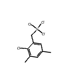 Cc1cc(C)c(Cl)c(C[Si](Cl)(Cl)Cl)c1